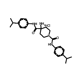 CC(C)c1ccc(NC(=O)N2CCC(N)(C(=O)Nc3ccc(C(C)C)cc3)CC2)cc1.Cl